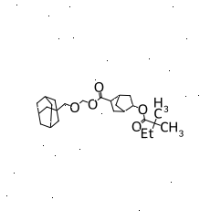 CCC(C)(C)C(=O)OC1CC2CC1CC2C(=O)OCOCC12CC3CC(CC(C3)C1)C2